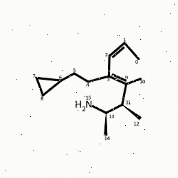 C/C=C\C(CCC1CC1)=C(/C)[C@@H](C)[C@@H](C)N